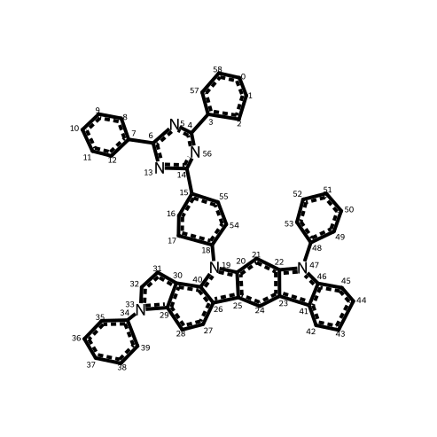 c1ccc(-c2nc(-c3ccccc3)nc(-c3ccc(-n4c5cc6c(cc5c5ccc7c(ccn7-c7ccccc7)c54)c4ccccc4n6-c4ccccc4)cc3)n2)cc1